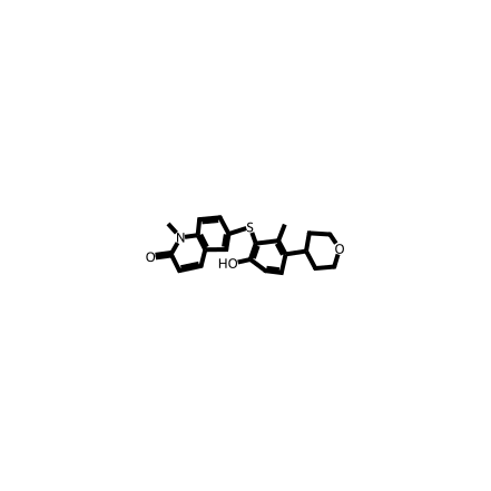 Cc1c(C2CCOCC2)ccc(O)c1Sc1ccc2c(ccc(=O)n2C)c1